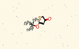 CCC[Si](CCC)(CCC)OC1=CC(=O)CS1